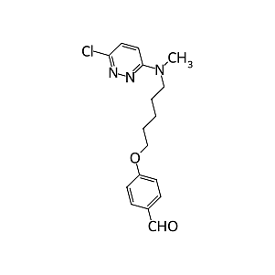 CN(CCCCCOc1ccc(C=O)cc1)c1ccc(Cl)nn1